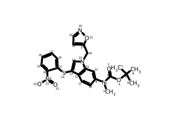 CN(C(=O)OC(C)(C)C)c1ccc2c(Sc3ccccc3[N+](=O)[O-])cn(Cc3ccno3)c2c1